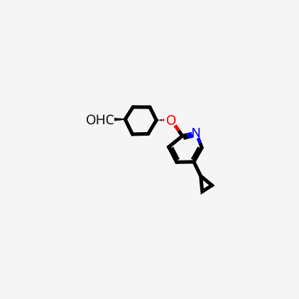 O=C[C@H]1CC[C@H](Oc2ccc(C3CC3)cn2)CC1